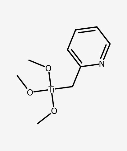 C[O][Ti]([CH2]c1ccccn1)([O]C)[O]C